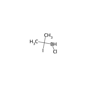 CC(C)(I)BCl